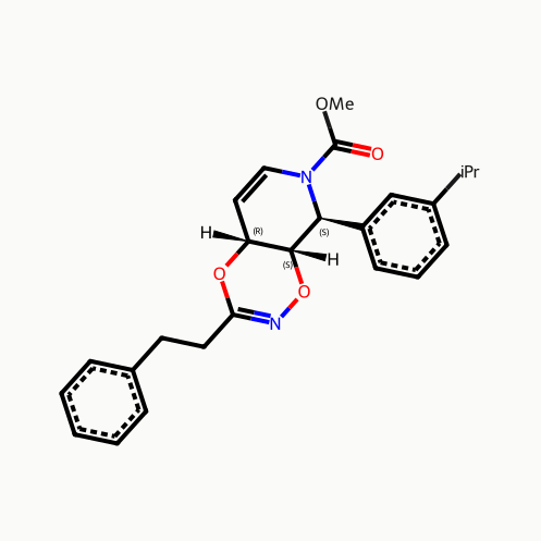 COC(=O)N1C=C[C@H]2OC(CCc3ccccc3)=NO[C@H]2[C@@H]1c1cccc(C(C)C)c1